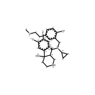 COCCc1ccc(Cl)c(CN(C(=O)C2CNCCC2(O)c2ccc(F)c(F)c2)C2CC2)c1